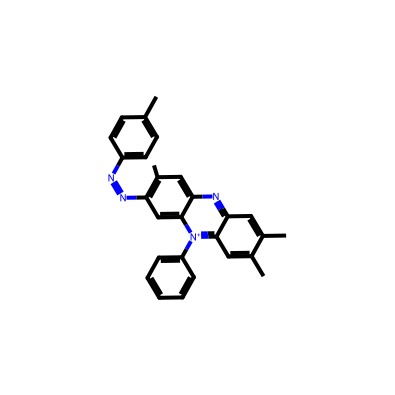 Cc1ccc(/N=N\c2cc3c(cc2C)nc2cc(C)c(C)cc2[n+]3-c2ccccc2)cc1